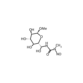 CO[C@H]1O[C@H](C(O)NC(=O)N(C)N=O)[C@@H](O)[C@H](O)[C@H]1O